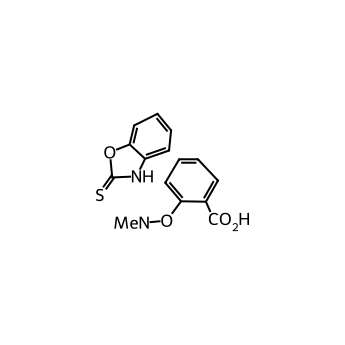 CNOc1ccccc1C(=O)O.S=c1[nH]c2ccccc2o1